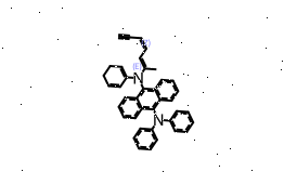 C#C/C=C\C=C(/C)N(C1=CCCC=C1)c1c2ccccc2c(N(c2ccccc2)c2ccccc2)c2ccccc12